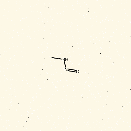 CBN=O